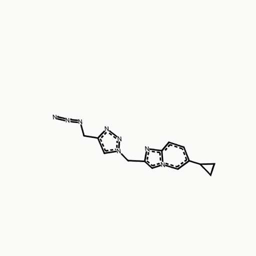 [N-]=[N+]=NCc1cn(Cc2cn3cc(C4CC4)ccc3n2)nn1